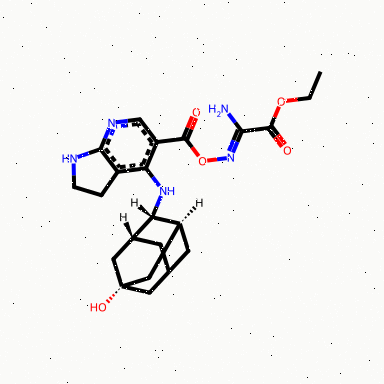 CCOC(=O)/C(N)=N/OC(=O)c1cnc2c(c1N[C@H]1[C@@H]3CC4C[C@H]1C[C@@](O)(C4)C3)CCN2